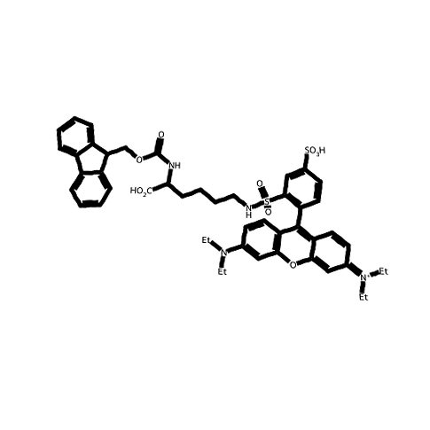 CCN(CC)c1ccc2c(-c3ccc(S(=O)(=O)O)cc3S(=O)(=O)NCCCCC(NC(=O)OCC3c4ccccc4-c4ccccc43)C(=O)O)c3ccc(=[N+](CC)CC)cc-3oc2c1